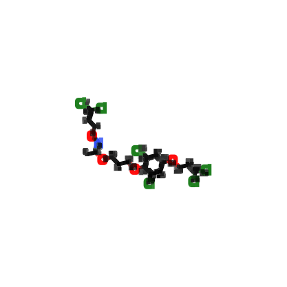 CC(=NOCC=C(Cl)Cl)OCCCOc1c(Cl)cc(OCC=C(Cl)Cl)cc1Cl